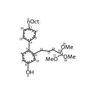 CCCCCCCCc1ccc(-c2ccc(O)cc2CCC[Si](OC)(OC)OC)cc1